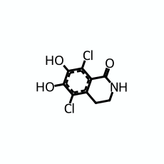 O=C1NCCc2c(Cl)c(O)c(O)c(Cl)c21